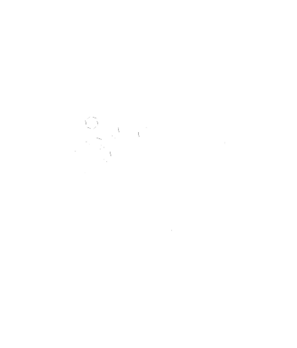 CCCCCCCCCCCCCCCCCC(=O)N(CCCCCCCCCCCCCC)[C@@H]1O[C@H](CO)[C@@H](O)[C@H](O)[C@H]1NC(=O)[C@H](Cc1ccccc1)NC(=O)CCC(=O)O